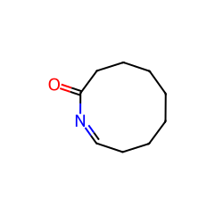 O=C1CCCCCCCC=N1